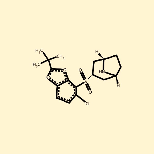 CC(C)(C)c1nc2ccc(Cl)c(S(=O)(=O)[C@H]3C[C@H]4CC[C@@H](C3)N4)c2o1